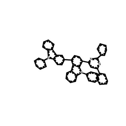 c1ccc(-c2cc(-c3ccc(-c4ccc5c(c4)c4ccccc4n5-c4ccccc4)c4c5ccccc5n(-c5ccccc5)c34)nc(-c3ccccc3)n2)cc1